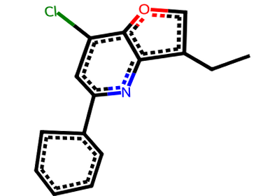 CCc1coc2c(Cl)cc(-c3ccccc3)nc12